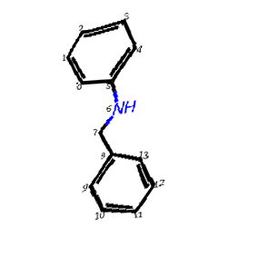 [c]1ccccc1NCc1ccccc1